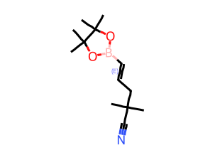 CC(C)(C#N)C/C=C/B1OC(C)(C)C(C)(C)O1